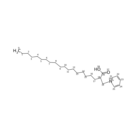 CCCCCCCCCCCCCCCCCCC(C[n+]1ccccc1)C(=O)O